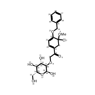 COC1(Cl)CC(C(=O)CO[C@@H]2[C@@H](O)[C@H](O)[C@@H](CO)O[C@@H]2O)=CC=C1OCc1ccccc1